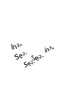 [In+3].[In+3].[Se-2].[Se-2].[Se-2]